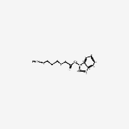 CNCCCCCCC(=O)On1nnc2ccccc21